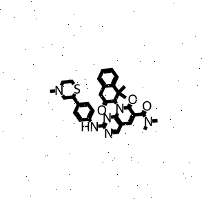 CN1CCSC(c2ccc(Nc3ncc4cc(C(=O)N(C)C)c(=O)n(C5C(=O)Cc6ccccc6C5(C)C)c4n3)cc2)C1